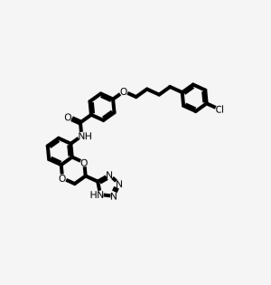 O=C(Nc1cccc2c1OC(c1nnn[nH]1)CO2)c1ccc(OCCCCc2ccc(Cl)cc2)cc1